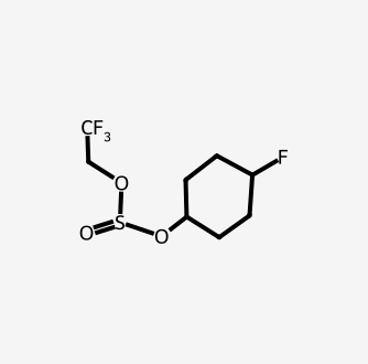 O=S(OCC(F)(F)F)OC1CCC(F)CC1